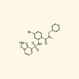 CN(Cc1ccccc1)C(=O)c1ccc(Br)cc1NS(=O)(=O)C1=CC=CN2SNC=C12